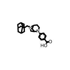 O=C(O)c1ccc(N2CCC3CC2CN3CC23CC4CC(CC(C4)C2)C3)cc1